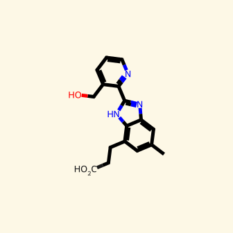 Cc1cc(CCC(=O)O)c2[nH]c(-c3ncccc3CO)nc2c1